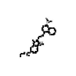 CN(C)c1ccc(/C=C/c2sc3cc(OC=O)ccc3[n+]2C)c2ccccc12